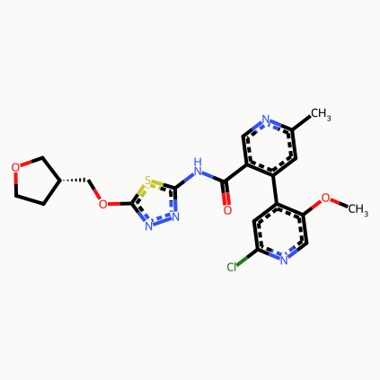 COc1cnc(Cl)cc1-c1cc(C)ncc1C(=O)Nc1nnc(OC[C@@H]2CCOC2)s1